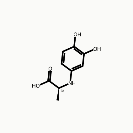 C[C@H](Nc1ccc(O)c(O)c1)C(=O)O